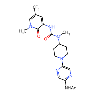 CC(=O)Nc1cnc(N2CCC(N(C)C(=O)Nc3cc(C(F)(F)F)cn(C)c3=O)CC2)cn1